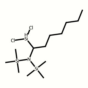 CCCCCCC(N([Si](C)(C)C)[Si](C)(C)C)[SiH](Cl)Cl